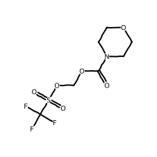 O=C(OCOS(=O)(=O)C(F)(F)F)N1CCOCC1